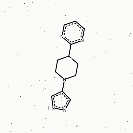 c1cnc(C2CCN(c3cn[nH]c3)CC2)nc1